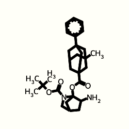 CC12CC3CC(C(=O)OC45CC(CC4N)CN5C(=O)OC(C)(C)C)(C1)CC(c1ccccc1)(C3)C2